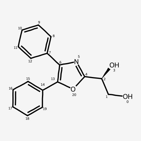 OC[C@H](O)c1nc(-c2ccccc2)c(-c2ccccc2)o1